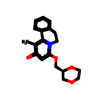 Cc1c2n(c(OC[C@@H]3COCCO3)cc1=O)CCc1c[c]ccc1-2